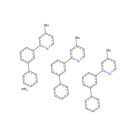 CC(C)(C)c1ccnc(-c2cccc(-c3ccccc3)c2)c1.CC(C)(C)c1ccnc(-c2cccc(-c3ccccc3)c2)c1.CC(C)(C)c1ccnc(-c2cccc(-c3ccccc3)c2)c1.[InH3]